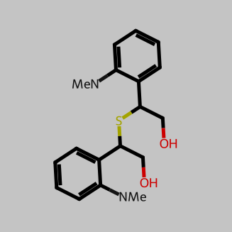 CNc1ccccc1C(CO)SC(CO)c1ccccc1NC